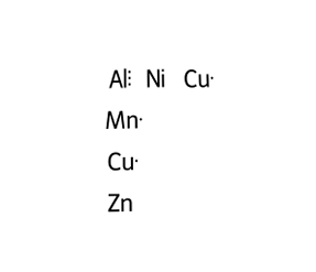 [Al].[Cu].[Cu].[Mn].[Ni].[Zn]